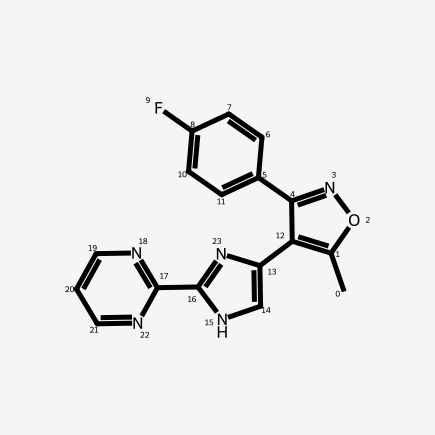 Cc1onc(-c2ccc(F)cc2)c1-c1c[nH]c(-c2ncccn2)n1